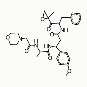 COc1ccc(C(CC(=O)NC(Cc2ccccc2)C(=O)C2(C)CO2)NC(=O)C(C)NC(=O)CN2CCOCC2)cc1